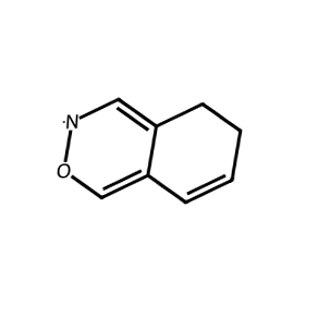 C1=CC2=CO[N]C=C2CC1